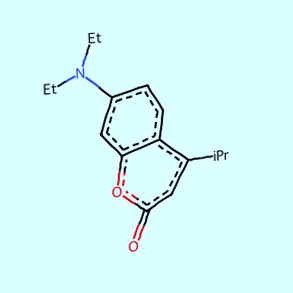 CCN(CC)c1ccc2c(C(C)C)cc(=O)oc2c1